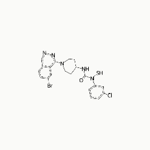 O=C(NC1CCN(c2nncc3ccc(Br)cc23)CC1)N(S)c1cccc(Cl)c1